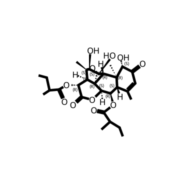 CCC(C)C(=O)O[C@@H]1[C@H]2C(C)=CC(=O)[C@@H](O)[C@]2(C)[C@H]2[C@@H](O)[C@H](O)[C@@]3(C)OC[C@@]24[C@@H]1OC(=O)[C@H](OC(=O)C(C)CC)[C@@H]34